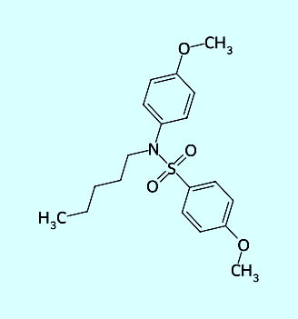 CCCCCN(c1ccc(OC)cc1)S(=O)(=O)c1ccc(OC)cc1